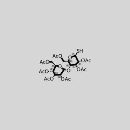 CC(=O)OC[C@H]1O[C@@H](S)[C@H](OC(C)=O)[C@@H](OC(C)=O)[C@@H]1O[C@H]1O[C@H](COC(C)=O)[C@@H](OC(C)=O)[C@H](OC(C)=O)[C@H]1OC(C)=O